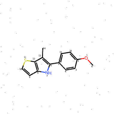 COc1ccc(-c2[nH]c3ccsc3c2C)cc1